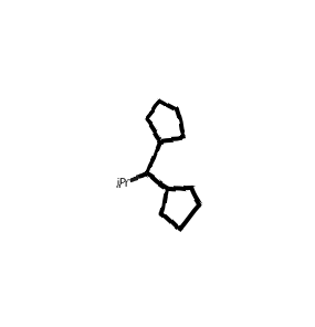 CC(C)C(C1CCCC1)C1CCCC1